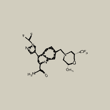 C[C@@H]1CN(Cc2ccc3c(-c4cnn(C(F)F)c4)cc(C(N)=O)nc3c2)C[C@H](C(F)(F)F)O1